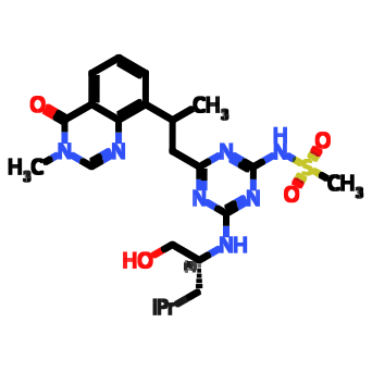 CC(C)C[C@H](CO)Nc1nc(CC(C)c2cccc3c(=O)n(C)cnc23)nc(NS(C)(=O)=O)n1